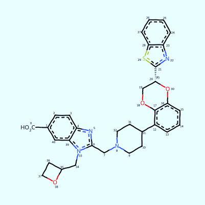 O=C(O)c1ccc2nc(CN3CCC(c4cccc5c4OC[C@H](c4nc6ccccc6s4)O5)CC3)n(CC3CCO3)c2c1